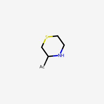 CC(=O)C1CSCCN1